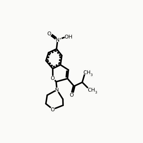 CC(C)C(=O)C1=Cc2cc([N+](=O)O)ccc2OC1N1CCOCC1